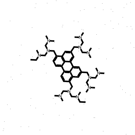 CCN(C)CN(Cc1ccc2c3ccc(CN(CN(C)C)CN(C)CC)c4cc(CN(CN(C)C)CN(C)C)cc(c5cc(CN(CN(C)C)CN(C)C)cc1c25)c43)CN(C)C